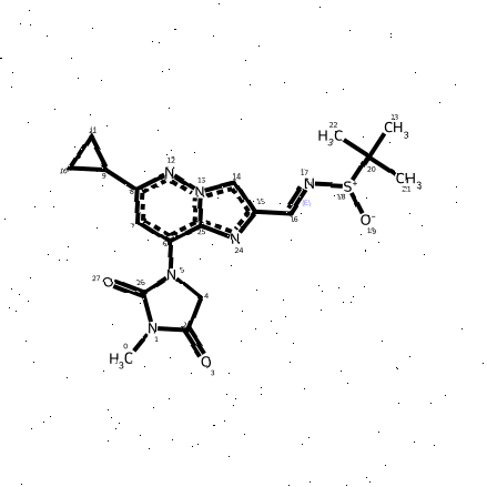 CN1C(=O)CN(c2cc(C3CC3)nn3cc(/C=N/[S+]([O-])C(C)(C)C)nc23)C1=O